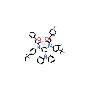 CCC(C)(C)c1ccc(N2c3cc(-c4ccccc4)oc3B3c4oc(C5=CCC(C)C=C5)cc4N(C4=CC=C(C(C)(C)C)C(C)C4)c4cc(N(c5ccccc5)c5ccccc5)cc2c43)cc1